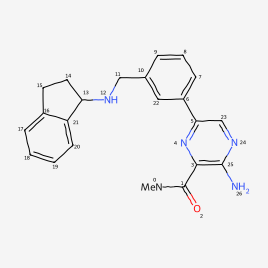 CNC(=O)c1nc(-c2cccc(CNC3CCc4ccccc43)c2)cnc1N